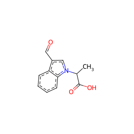 CC(C(=O)O)n1cc(C=O)c2ccccc21